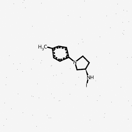 Cc1ccc(N2CC[C@@H](NI)C2)cc1